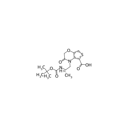 C[C@@H](CN1C(=O)COc2csc(C(=O)O)c21)NC(=O)OC(C)(C)C